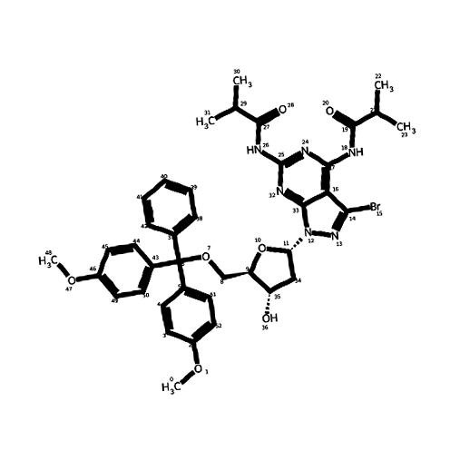 COc1ccc(C(OC[C@H]2O[C@H](n3nc(Br)c4c(NC(=O)C(C)C)nc(NC(=O)C(C)C)nc43)C[C@@H]2O)(c2ccccc2)c2ccc(OC)cc2)cc1